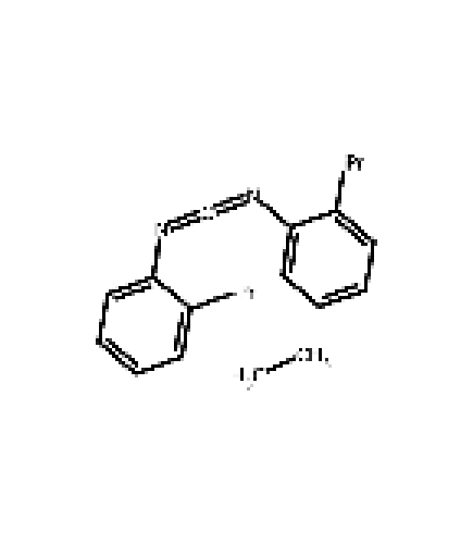 CC.CC(C)c1ccccc1N=C=Nc1ccccc1C(C)C